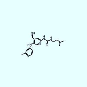 Cc1cc(Nc2cnc(NC(=O)NCCN(C)C)cc2C=N)ccn1